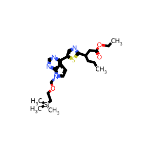 CCCC(CC(=O)OCC)c1ncc(-c2ncnc3c2ccn3COCC[Si](C)(C)C)s1